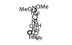 COc1cc(C2(F)CCc3nc(NC(=O)Nc4ccccc4C(=O)NC(C)C)sc3C2)nc(OC)n1